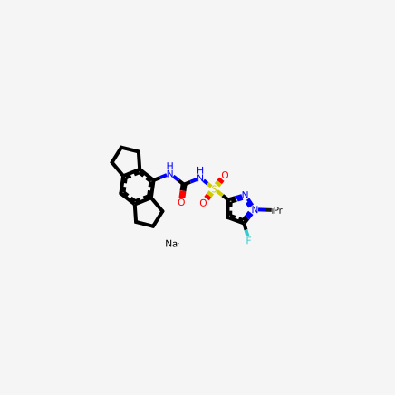 CC(C)n1nc(S(=O)(=O)NC(=O)Nc2c3c(cc4c2CCC4)CCC3)cc1F.[Na]